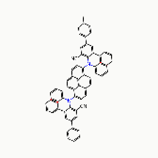 CC1C=CC(c2cc(C#N)c(N(c3ccccc3)c3ccc4ccc5c(N(c6ccccc6)c6c(C#N)cc(-c7ccccc7)cc6-c6ccccc6)ccc6ccc3c4c65)c(C3=CCCC=C3)c2)=CC1